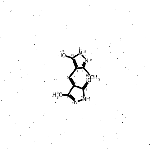 CC1=NNC(=O)C1=Cc1c(C)n[nH]c1O